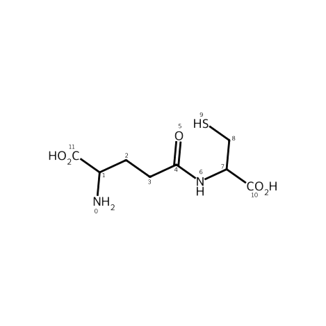 NC(CCC(=O)NC(CS)C(=O)O)C(=O)O